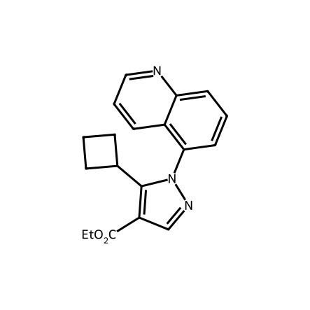 CCOC(=O)c1cnn(-c2cccc3ncccc23)c1C1CCC1